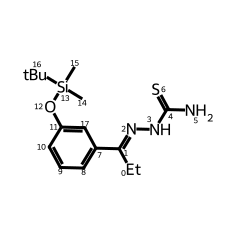 CCC(=NNC(N)=S)c1cccc(O[Si](C)(C)C(C)(C)C)c1